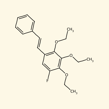 CCOc1c(F)cc(C=Cc2ccccc2)c(OCC)c1OCC